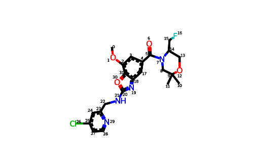 COc1cc(C(=O)N2CC(C)(C)OCC2CF)cc2nc(NCc3cc(Cl)ccn3)oc12